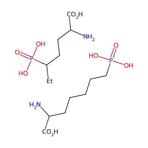 CCC(CCC(N)C(=O)O)P(=O)(O)O.NC(CCCCCP(=O)(O)O)C(=O)O